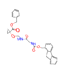 O=C(CNC(=O)OCc1cccc2c1Cc1ccccc1-2)NCOC1(C(=O)OCc2ccccc2)CC1